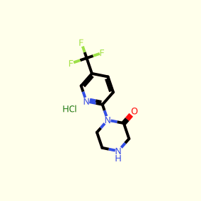 Cl.O=C1CNCCN1c1ccc(C(F)(F)F)cn1